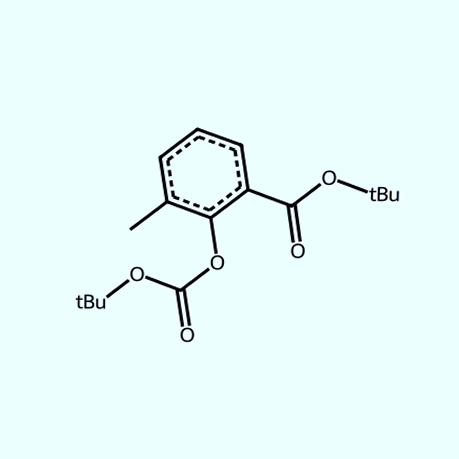 Cc1cccc(C(=O)OC(C)(C)C)c1OC(=O)OC(C)(C)C